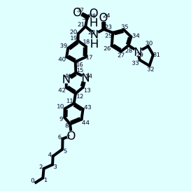 CCCCCCCOc1ccc(-c2cnc(-c3ccc(CC(NC(=O)c4ccc(N5CCCC5)cc4)C(=O)O)cc3)nc2)cc1